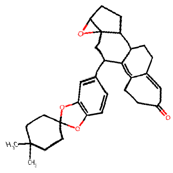 CC1(C)CCC2(CC1)Oc1ccc(C3CC45OC4CCC5C4CCC5=CC(=O)CCC5=C34)cc1O2